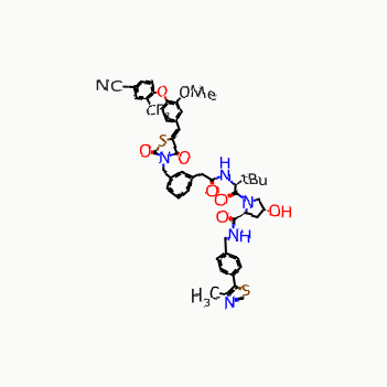 COc1cc(/C=C2\SC(=O)N(Cc3cccc(CC(=O)N[C@H](C(=O)N4C[C@H](O)C[C@H]4C(=O)NCc4ccc(-c5scnc5C)cc4)C(C)(C)C)c3)C2=O)ccc1Oc1ccc(C#N)cc1C(F)(F)F